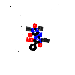 CCCCn1c(=O)c(-c2ccccc2)c(O)n2c3c(=O)n(CC)c(=O)n(CC)c3nc12